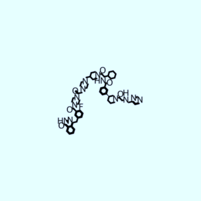 O=C(N[C@@H](C(=O)N1CCC(CN2CCN(CC(=O)N3CCN(C(=O)c4cc(Cc5n[nH]c(=O)c6ccccc56)ccc4F)CC3)CC2)CC1)C1CCCCC1)c1cccc([C@@H]2CCCN(C(=O)CNCc3ccncn3)C2)c1